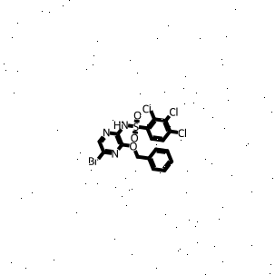 O=S(=O)(Nc1ncc(Br)nc1OCc1ccccc1)c1ccc(Cl)c(Cl)c1Cl